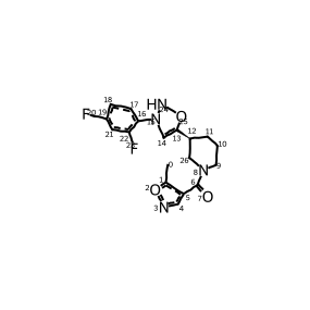 Cc1oncc1C(=O)N1CCC[C@H](C2=CN(c3ccc(F)cc3F)NO2)C1